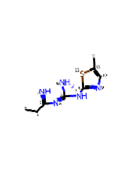 CCC(=N)/N=C(\N)Nc1ncc(C)s1